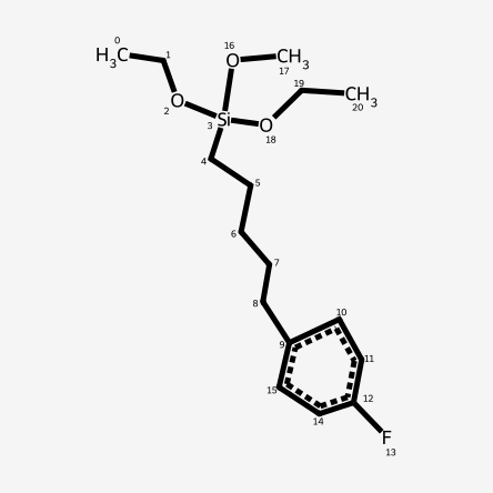 CCO[Si](CCCCCc1ccc(F)cc1)(OC)OCC